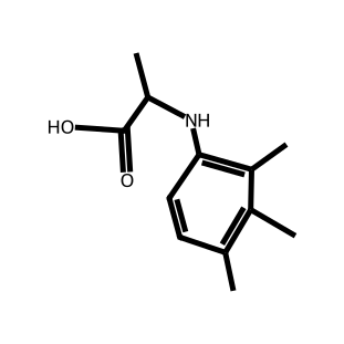 Cc1ccc(NC(C)C(=O)O)c(C)c1C